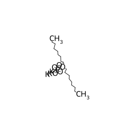 CCCCCCCCCOCCCCCCCCC.O=P([O-])([O-])[O-].[K+].[K+].[K+]